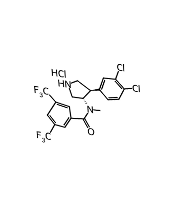 CN(C(=O)c1cc(C(F)(F)F)cc(C(F)(F)F)c1)[C@@H]1CNC[C@H]1c1ccc(Cl)c(Cl)c1.Cl